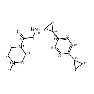 CN1CCN(C(=O)CN[C@@H]2C[C@H]2c2ccc(C3CC3)cc2)CC1